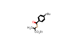 CCCCc1ccc(C(=O)SC(C)C(=O)OCC)cc1